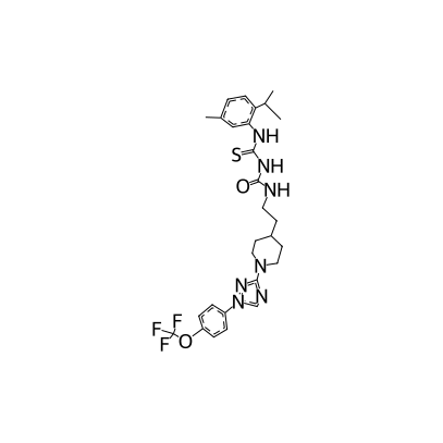 Cc1ccc(C(C)C)c(NC(=S)NC(=O)NCCC2CCN(c3ncn(-c4ccc(OC(F)(F)F)cc4)n3)CC2)c1